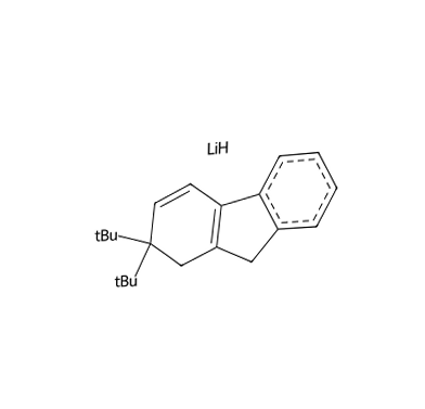 CC(C)(C)C1(C(C)(C)C)C=CC2=C(Cc3ccccc32)C1.[LiH]